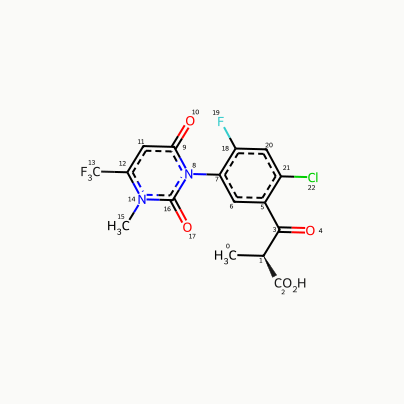 C[C@H](C(=O)O)C(=O)c1cc(-n2c(=O)cc(C(F)(F)F)n(C)c2=O)c(F)cc1Cl